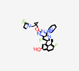 C#Cc1c(F)ccc2cc(O)cc(-c3cnc4c(N5CC6CCC(C5)N6)nc(OCC5(CN6CC[C@@H](F)C6)CC5)nc4c3F)c12